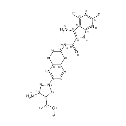 COC(C)C1CN(c2ccc3c(n2)CCC(NC(=O)c2sc4nc(C)nc(C)c4c2N)C3)CC1N